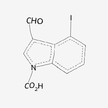 O=Cc1cn(C(=O)O)c2cccc(I)c12